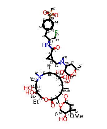 CC[C@H]1OC(=O)[C@H](C)[C@@H](O[C@H]2C[C@@](C)(OC)[C@@H](O)[C@H](C)O2)[C@H](C)[C@@H](O[C@@H]2O[C@H](C)C[C@H](N(C)CC3CC3C(=O)N[C@H](CF)Cc3ccc(S(C)(=O)=O)cc3)[C@H]2O)[C@](C)(O)C[C@@H](C)CN(C)[C@H](C)[C@@H](O)[C@]1(C)O